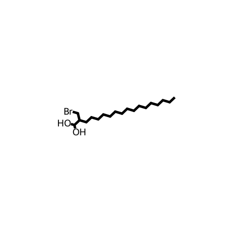 CCCCCCCCCCCCCCCCC(CBr)C(O)O